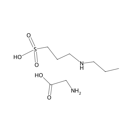 CCCNCCCS(=O)(=O)O.NCC(=O)O